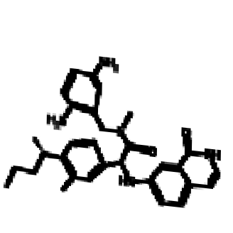 Bc1ccc(N)cc1CN(C)C(=O)C(Nc1ccc2cc[nH]c(=O)c2c1)c1ccc([C@@H](C)CCC)c(C)c1